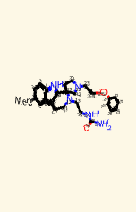 COc1ccc2[nH]c3c(c2c1)CCN(CCNC(N)=O)C31CCN(CCOc2ccccc2)C1